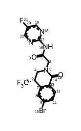 O=C(CN1C[C@@H](C(F)(F)F)c2cc(Br)ccc2C1=O)Nc1ncc(F)cn1